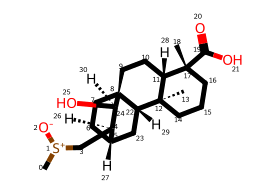 C[S+]([O-])C[C@@H]1[C@H]2CC[C@@]3(CC[C@H]4[C@@](C)(CCC[C@@]4(C)C(=O)O)[C@@H]3C2)[C@@H]1O